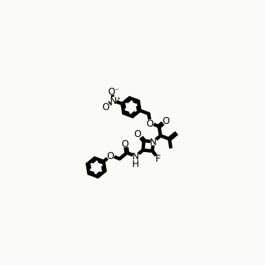 C=C(C)C(C(=O)OCc1ccc([N+](=O)[O-])cc1)N1C(=O)C(NC(=O)COc2ccccc2)C1F